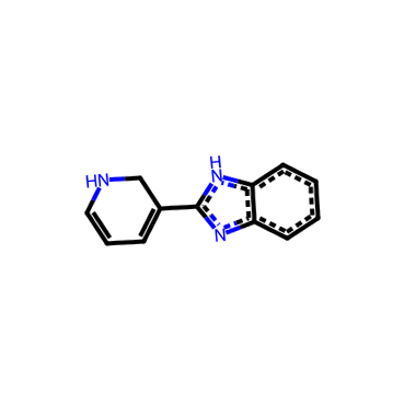 C1=CNCC(c2nc3ccccc3[nH]2)=C1